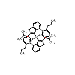 CCCc1ccccc1-c1cccc2c1C([Si](C)(C)C1=C(CC(C)C)[CH]c3cccc(-c4ccccc4CCC)c31)=C(CC(C)C)[CH]2